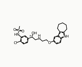 CS(=O)(=O)Nc1cc([C@@H](O)CNCCOc2ccc3[nH]c4c(c3c2)CCCCC4)ccc1Cl